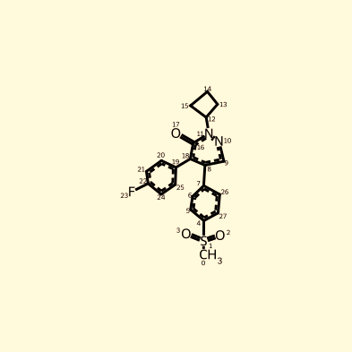 CS(=O)(=O)c1ccc(-c2cnn(C3CCC3)c(=O)c2-c2ccc(F)cc2)cc1